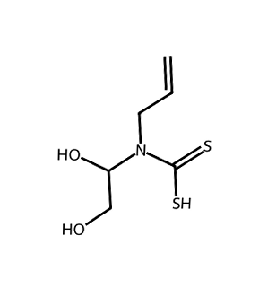 C=CCN(C(=S)S)C(O)CO